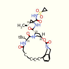 C=C[C@@H]1C[C@]1(NC(=O)[C@@H]1C[C@@H]2CN1C(=O)[C@H](C(C)(C)C)NC(=O)CCCCCCc1cccc3c1CN(C3)C(=O)O2)C(=O)NS(=O)(=O)C1CC1